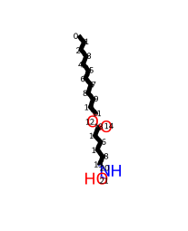 CCCCCCCCCCCCOC(=O)CCCCCNO